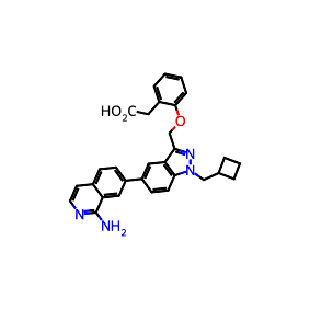 Nc1nccc2ccc(-c3ccc4c(c3)c(COc3ccccc3CC(=O)O)nn4CC3CCC3)cc12